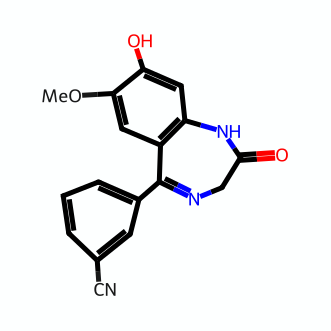 COc1cc2c(cc1O)NC(=O)CN=C2c1cccc(C#N)c1